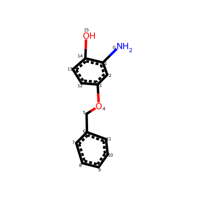 Nc1cc(OCc2ccccc2)ccc1O